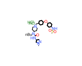 CCCCN(C(=O)Nc1cnn(C)c1)C1CCN(Cc2ccc(Oc3ccc(NS(C)(=O)=O)cc3)cc2)CC1.Cl.Cl